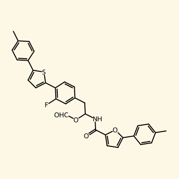 Cc1ccc(-c2ccc(C(=O)NC(Cc3ccc(-c4ccc(-c5ccc(C)cc5)s4)c(F)c3)OC=O)o2)cc1